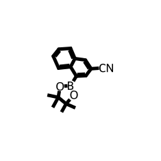 CC1(C)OB(c2cc(C#N)cc3ccccc23)OC1(C)C